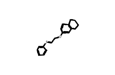 c1ccc(SCCOc2ccc3c(c2)CCCC3)cc1